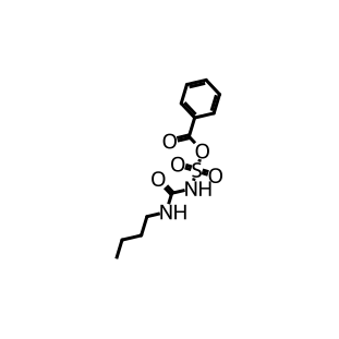 CCCCNC(=O)NS(=O)(=O)OC(=O)c1ccccc1